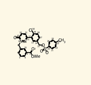 COC(=O)c1cccc(Cn2nc(-c3cc(COS(=O)(=O)c4ccc(C)cc4)ccc3Cl)ccc2=O)c1